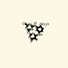 O=S(=O)(O)c1ccc(Nc2ncnc(F)c2F)cc1Nc1nc(Cl)nc(Cl)n1